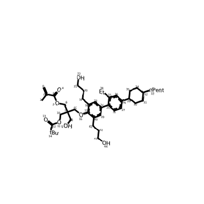 C=C(C)C(=O)OCC(CO)(COC(=O)C(C)(C)C)COc1c(CCCO)cc(-c2ccc(C3CCC(CCCCC)CC3)cc2CC)cc1CCCO